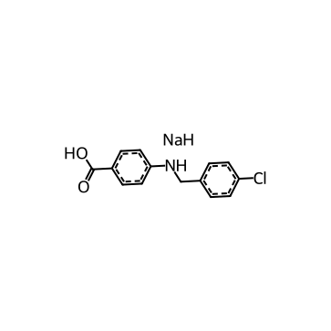 O=C(O)c1ccc(NCc2ccc(Cl)cc2)cc1.[NaH]